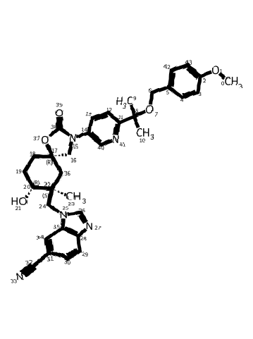 COc1ccc(COC(C)(C)c2ccc(N3C[C@]4(CC[C@@H](O)[C@](C)(Cn5cnc6ccc(C#N)cc65)C4)OC3=O)cn2)cc1